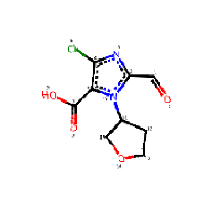 O=Cc1nc(Cl)c(C(=O)O)n1C1CCOC1